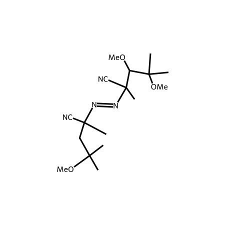 COC(C(C)(C#N)N=NC(C)(C#N)CC(C)(C)OC)C(C)(C)OC